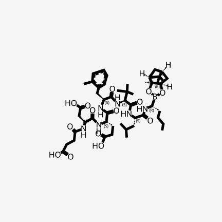 CCCC[C@H](NC(=O)[C@H](CC(C)C)NC(=O)[C@@H](NC(=O)[C@H](Cc1ccccc1C)NC(=O)[C@H](CCC(=O)O)NC(=O)[C@H](CC(=O)O)NC(=O)CCC(=O)O)C(C)(C)C)B1O[C@@H]2C[C@@H]3C[C@@H](C3(C)C)[C@]2(C)O1